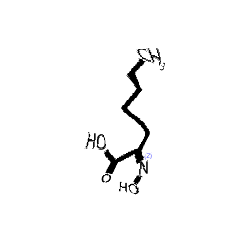 CCCCC/C(=N/O)C(=O)O